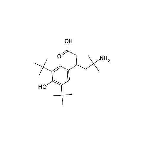 CC(C)(N)CC(CC(=O)O)c1cc(C(C)(C)C)c(O)c(C(C)(C)C)c1